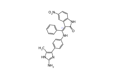 Cc1[nH]c(N)nc1-c1ccc(N/C(=C2\C(=O)Nc3ccc([N+](=O)[O-])cc32)c2ccccc2)cc1